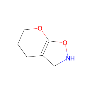 C1COC2=C(C1)CNO2